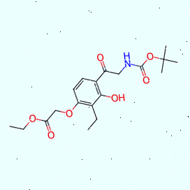 CCOC(=O)COc1ccc(C(=O)CNC(=O)OC(C)(C)C)c(O)c1CC